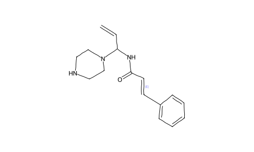 C=CC(NC(=O)/C=C/c1ccccc1)N1CCNCC1